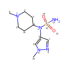 CN1CCC(N(c2cnn(C)c2)S(N)(=O)=O)CC1